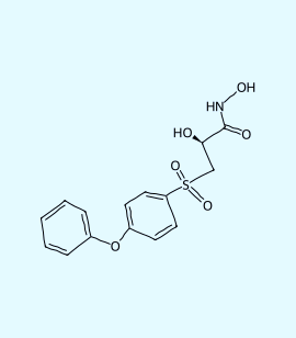 O=C(NO)[C@H](O)CS(=O)(=O)c1ccc(Oc2ccccc2)cc1